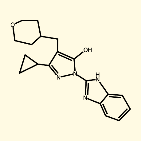 Oc1c(CC2CCOCC2)c(C2CC2)nn1-c1nc2ccccc2[nH]1